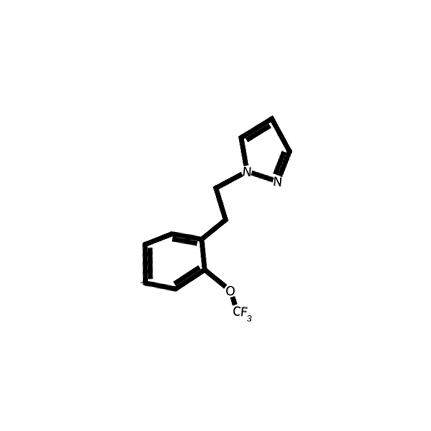 FC(F)(F)Oc1c[c]ccc1CCn1cccn1